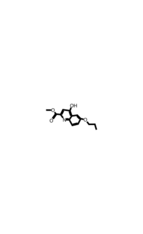 CCCOc1ccc2nc(C(=O)OC)cc(O)c2c1